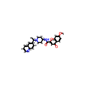 COc1ccc2c(=O)cc(C(=O)NC3CCN(C(C)c4ccc5ncccc5c4)CC3)oc2c1